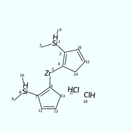 C[SiH](C)C1=[C]([Zr][C]2=C([SiH](C)C)C=CC2)CC=C1.Cl.Cl